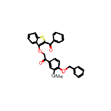 COc1cc(C(=O)COc2c(C(=O)c3ccccc3)sc3ccccc23)ccc1OCc1ccccc1